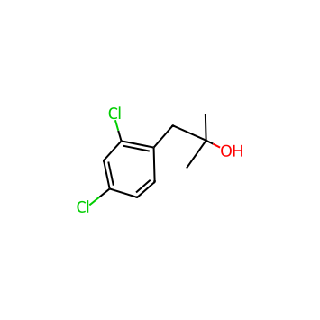 CC(C)(O)Cc1ccc(Cl)cc1Cl